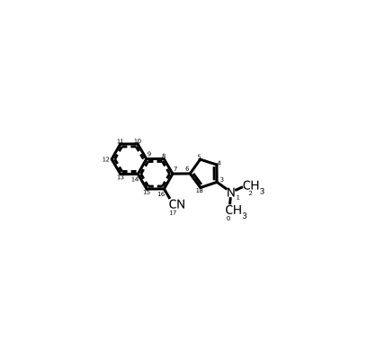 CN(C)C1=CCC(c2cc3ccccc3cc2C#N)=C1